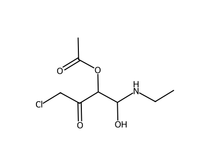 CCNC(O)C(OC(C)=O)C(=O)CCl